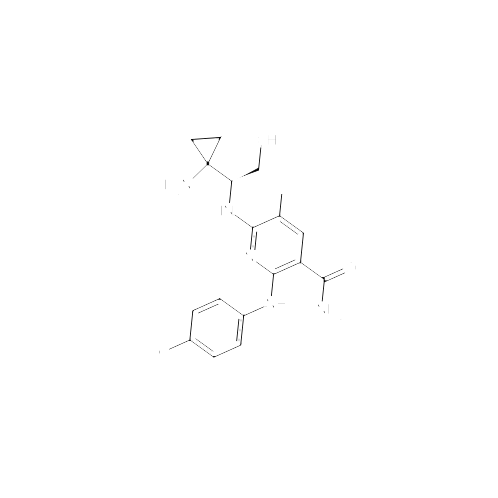 CC[C@@H](Nc1nc(Nc2ccc(C)cc2)c(C(N)=O)cc1F)C1(N)CC1